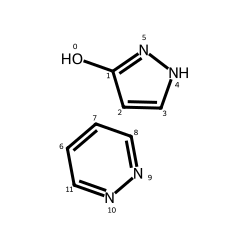 Oc1cc[nH]n1.c1ccnnc1